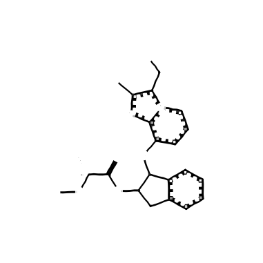 CO[C@H](C)C(=O)OC1Cc2ccccc2C1Oc1cccn2c(CO)c(C)nc12